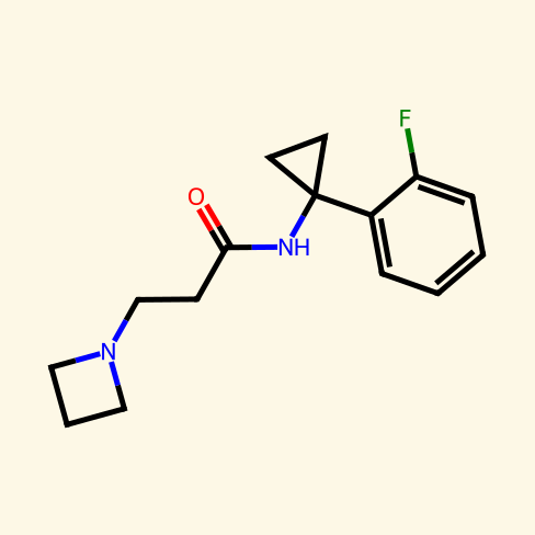 O=C(CCN1CCC1)NC1(c2ccccc2F)CC1